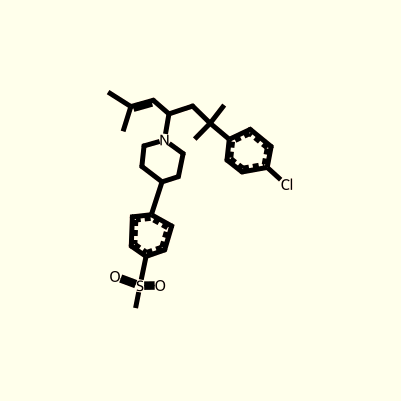 CC(C)=CC(CC(C)(C)c1ccc(Cl)cc1)N1CCC(c2ccc(S(C)(=O)=O)cc2)CC1